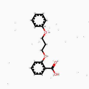 O=C(O)c1ccccc1OCCCOc1ccccc1